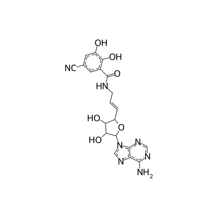 N#Cc1cc(O)c(O)c(C(=O)NC/C=C/C2OC(n3cnc4c(N)ncnc43)C(O)C2O)c1